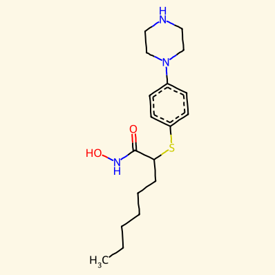 CCCCCCC(Sc1ccc(N2CCNCC2)cc1)C(=O)NO